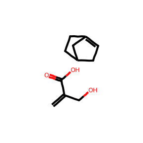 C1=C2CCC(C1)C2.C=C(CO)C(=O)O